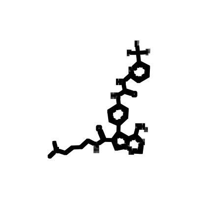 CN(C)CCCCNC(=O)c1cn2ncnc(N)c2c1-c1ccc(NC(=O)Nc2cccc(C(F)(F)F)n2)cc1